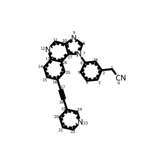 N#CCc1cccc(-n2cnc3cnc4ccc(C#Cc5cccnc5)cc4c32)c1